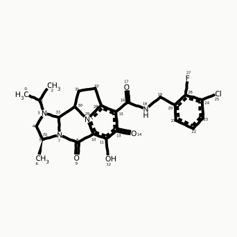 CC(C)N1C[C@H](C)N2C(=O)c3c(O)c(=O)c(C(=O)NCc4cccc(Cl)c4F)c4n3C(CC4)C12